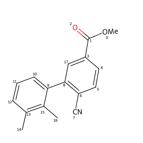 COC(=O)c1ccc(C#N)c(-c2cccc(C)c2C)c1